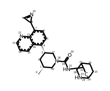 C[C@@H]1C[C@H](c2ccc(C3C=N3)c3ncccc23)CN(C(=O)NC2CC3CCC2CN3)C1